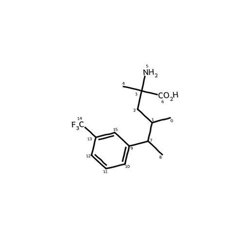 CC(CC(C)(N)C(=O)O)C(C)c1cccc(C(F)(F)F)c1